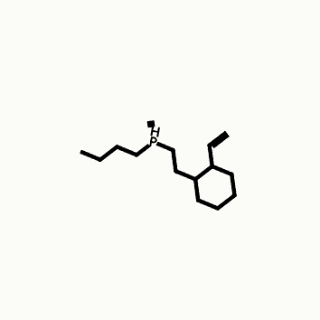 C=CC1CCCCC1CC[PH](=C)CCCC